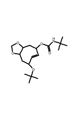 CC(C)(C)NC(=O)OC1/C=C/C(OC(C)(C)C)CC2OCOC2C1